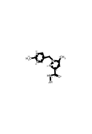 CCNC(=O)c1cc(C)n(Cc2cnc(C)nc2)n1